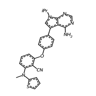 CC(C)n1cc(-c2ccc(Oc3cccc(N(C)c4cccs4)c3C#N)cc2)c2c(N)ncnc21